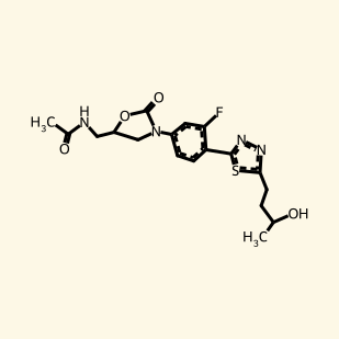 CC(=O)NCC1CN(c2ccc(-c3nnc(CCC(C)O)s3)c(F)c2)C(=O)O1